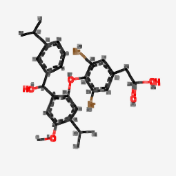 COc1cc(C(O)c2cccc(C(C)C)c2)c(Oc2c(Br)cc(CC(=O)O)cc2Br)cc1C(C)C